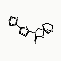 O=C1O[C@]2(CN3CCC2CC3)CN1c1ccc(-c2cncs2)o1